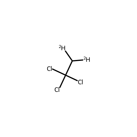 [2H]C([2H])C(Cl)(Cl)Cl